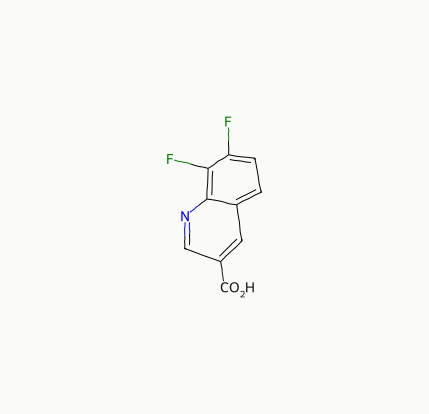 O=C(O)c1cnc2c(F)c(F)ccc2c1